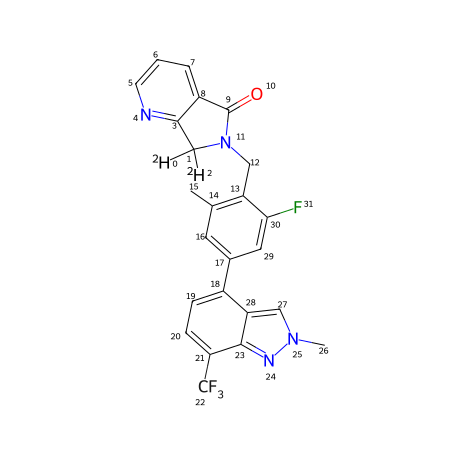 [2H]C1([2H])c2ncccc2C(=O)N1Cc1c(C)cc(-c2ccc(C(F)(F)F)c3nn(C)cc23)cc1F